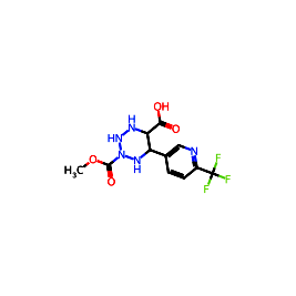 COC(=O)N1NNC(C(=O)O)C(c2ccc(C(F)(F)F)nc2)N1